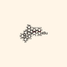 CC(C)(C)c1ccc(-c2ccc(N(c3cccc4c3-c3ccccc3C4(c3ccccc3)c3ccccc3)c3ccc4ccccc4c3-c3ccc(-c4ccccc4)cc3)cc2)cc1